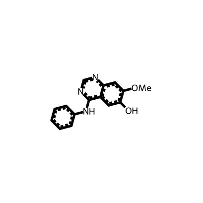 COc1cc2ncnc(Nc3ccccc3)c2cc1O